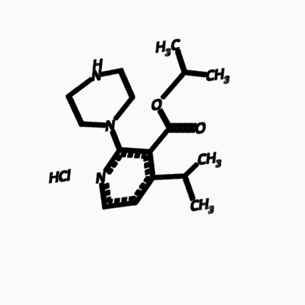 CC(C)OC(=O)c1c(C(C)C)ccnc1N1CCNCC1.Cl